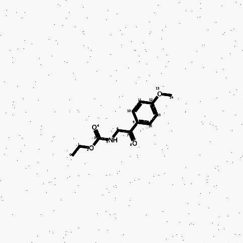 CCOC(=O)NCC(=O)c1ccc(OC)cc1